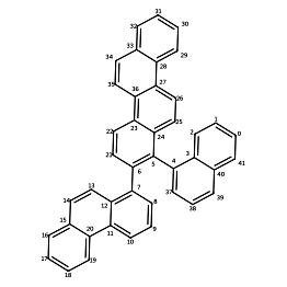 c1ccc2c(-c3c(-c4cccc5c4ccc4ccccc45)ccc4c3ccc3c5ccccc5ccc43)cccc2c1